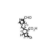 C[C@@]1(Cn2cnc(C=O)c2)S[C@@H]2CC(=O)N2[C@H]1C(=O)O